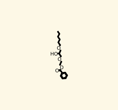 CCCCCCOCC(O)COCCOC(=O)c1ccccc1